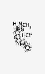 C[C@@H](N)C(=O)N[C@H]1CC[C@H](Oc2ccc3c(c2)CCC(c2ccccc2)O3)CC1.Cl